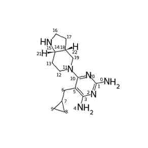 Nc1nc(N)c(CC2CC2)c(N2CC[C@@H]3NCC[C@@H]3C2)n1